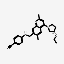 CCO[C@H]1CCN(c2cc(C)nc3cc(CNc4ccc(C#N)cc4)c(C)cc23)C1